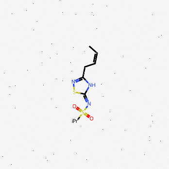 C/C=C\Cc1ns/c(=N\S(=O)(=O)C(C)C)[nH]1